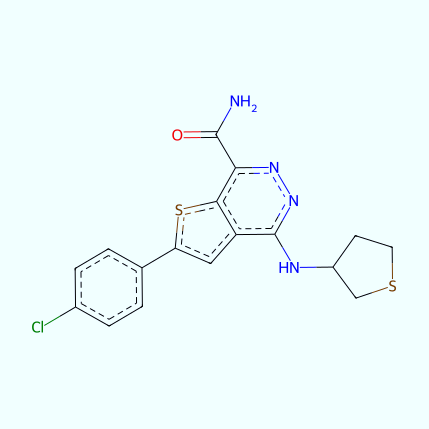 NC(=O)c1nnc(NC2CCSC2)c2cc(-c3ccc(Cl)cc3)sc12